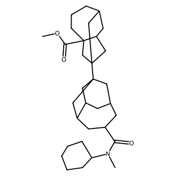 COC(=O)C12CCCC3CC1CC(C14CC5CC(C(=O)N(C)C6CCCCC6)CC(C1)C(C5)C4)(C3)C2